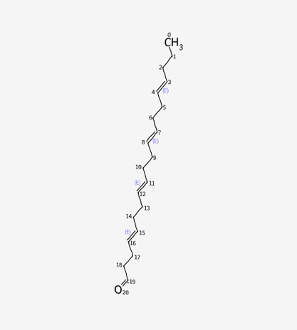 CCC/C=C/CC/C=C/CC/C=C/CC/C=C/CC[C]=O